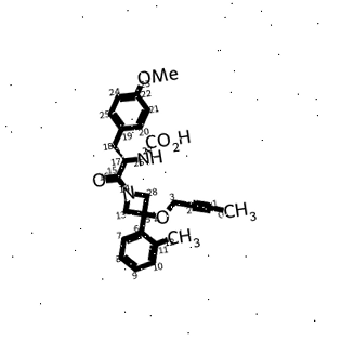 CC#CCOC1(c2ccccc2C)CN(C(=O)[C@@H](Cc2ccc(OC)cc2)NC(=O)O)C1